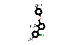 Cc1c(COc2ccc(C=O)cc2)cccc1-c1ccc(N=O)cc1Cl